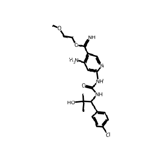 COCCOC(=N)c1cnc(NC(=O)NC(c2ccc(Cl)cc2)C(C)(C)O)cc1N